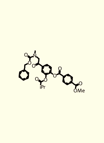 COC(=O)c1ccc(C(=O)Oc2ccc(C(=O)CN(C)C(=O)OCc3ccccc3)cc2OC(=O)C(C)C)cc1